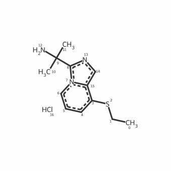 CCSc1cccn2c(C(C)(C)N)ncc12.Cl